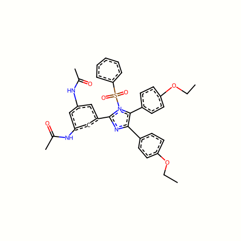 CCOc1ccc(-c2nc(-c3cc(NC(C)=O)cc(NC(C)=O)c3)n(S(=O)(=O)c3ccccc3)c2-c2ccc(OCC)cc2)cc1